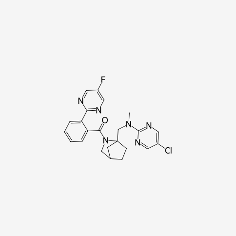 CN(CC12CCC(CN1C(=O)c1ccccc1-c1ncc(F)cn1)C2)c1ncc(Cl)cn1